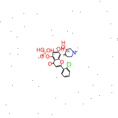 CN1CC[C@H](c2c(O)cc(OP(=O)(O)O)c3c(=O)cc(-c4ccccc4Cl)oc23)[C@H](O)C1